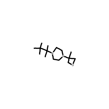 CC1(N2CCN(C(C)(C)C(C)(C)C)CC2)COC1